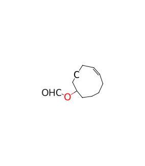 O=COC1CCCC=CCCCC1